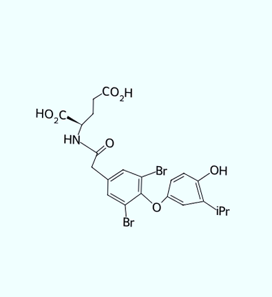 CC(C)c1cc(Oc2c(Br)cc(CC(=O)N[C@H](CCC(=O)O)C(=O)O)cc2Br)ccc1O